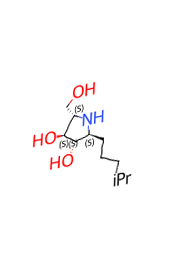 CC(C)CCC[C@@H]1N[C@@H](CO)[C@H](O)[C@H]1O